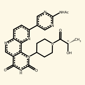 CC(=O)Nc1ncc(-c2ccc3ncc4c(=O)[nH]c(=O)n(C5CCN(C(=O)[C@H](C)O)CC5)c4c3n2)cn1